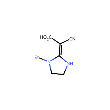 CCN1CCNC1=C(C#N)C(=O)O